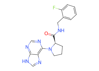 O=C(NCc1ccccc1F)[C@H]1CCCN1c1ncnc2[nH]cnc12